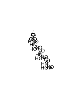 CC(=O)N(O)CNC(=O)CC(=O)N(O)CNC(=O)CC(=O)N(O)CNC(=O)NS(=O)(=O)c1ccc(C)cc1